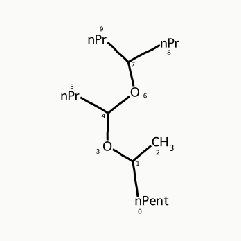 CCCCCC(C)OC(CCC)OC(CCC)CCC